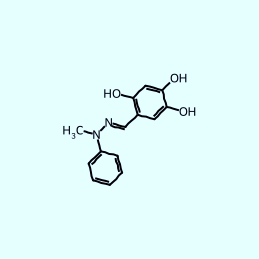 CN(/N=C/c1cc(O)c(O)cc1O)c1ccccc1